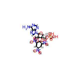 Nc1ncnc2c1ncn2[C@@H]1O[C@H](COP(=O)(O)O)[C@H]2OC3(O[C@H]21)C([N+](=O)[O-])=CC([N+](=O)[O-])C=C3[N+](=O)[O-]